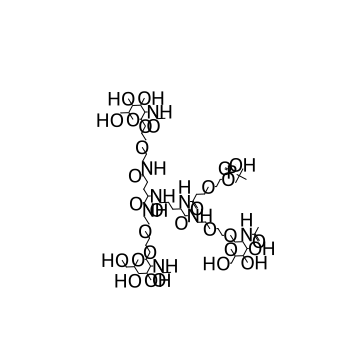 CC(=O)NC1C(OCCOCCNC(=O)CCC(NC(=O)CCC(NC(=O)CCOCCOP(=O)(O)C(C)(C)C)C(=O)NCCOCCOC2OC(CO)C(O)C(O)C2NC(C)=O)C(=O)NCCOCCOC2OC(CO)C(O)C(O)C2NC(C)=O)OC(CO)C(O)C1O